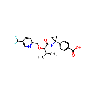 CC(C)[C@@H](OCc1ccc(C(F)F)cn1)C(=O)NC1(c2ccc(C(=O)O)cc2)CC1